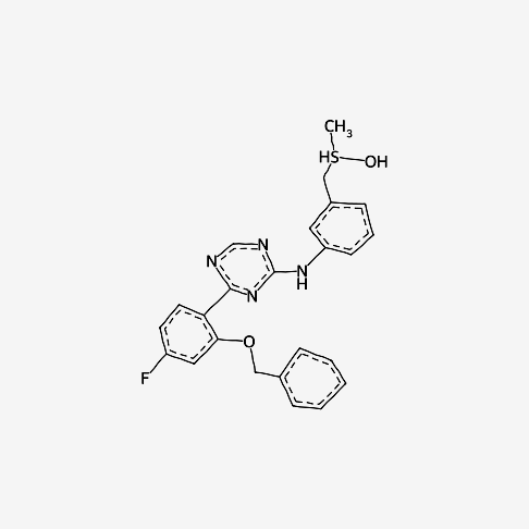 C[SH](O)Cc1cccc(Nc2ncnc(-c3ccc(F)cc3OCc3ccccc3)n2)c1